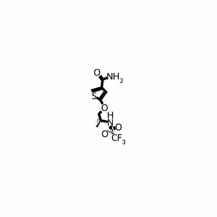 C[C@@H](COc1cc(C(N)=O)cs1)NS(=O)(=O)C(F)(F)F